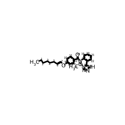 CCCCCCC=COc1ccc(C(=O)N(OC)c2ccccc2-c2nnn[nH]2)cc1